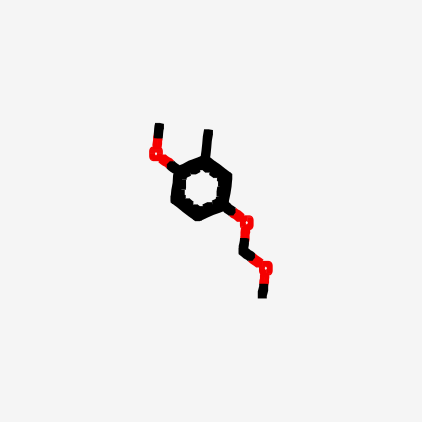 COCOc1ccc(OC)c(C)c1